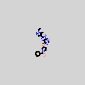 CCn1ncc(-c2nc3c(OC4CCN(C(=O)C5CCCCC5)C4)ncnc3n2C)c1C